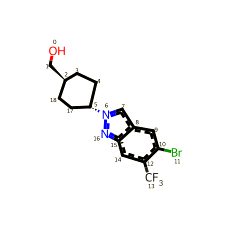 OC[C@H]1CC[C@H](n2cc3cc(Br)c(C(F)(F)F)cc3n2)CC1